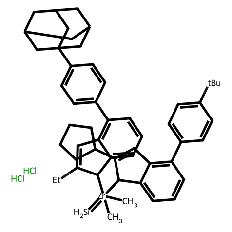 CCC1=Cc2c(-c3ccc(C45CC6CC(CC(C6)C4)C5)cc3)cccc2[CH]1[Zr]([CH3])([CH3])(=[SiH2])[CH]1C(C2CCCC2)=Cc2c(-c3ccc(C(C)(C)C)cc3)cccc21.Cl.Cl